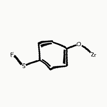 FSc1ccc([O][Zr])cc1